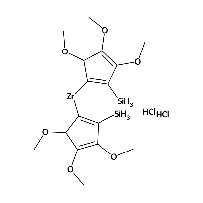 COC1=C(OC)C(OC)[C]([Zr][C]2=C([SiH3])C(OC)=C(OC)C2OC)=C1[SiH3].Cl.Cl